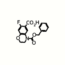 O=C(O)c1cc2c(cc1F)OCCN2C(=O)OCc1ccccc1